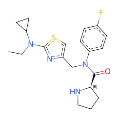 CCN(c1nc(CN(C(=O)[C@H]2CCCN2)c2ccc(F)cc2)cs1)C1CC1